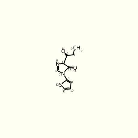 CCC(=O)C1N=CN(c2cccs2)C1=O